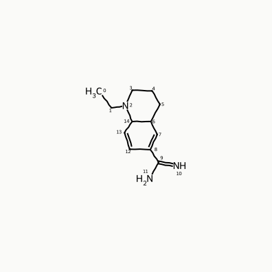 CCN1CCCC2C=C(C(=N)N)C=CC21